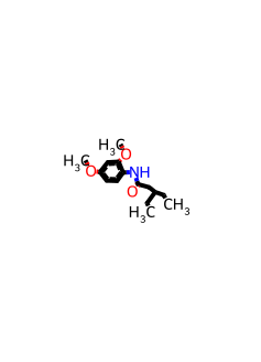 CCC(CC)CC(=O)Nc1ccc(OC)cc1OC